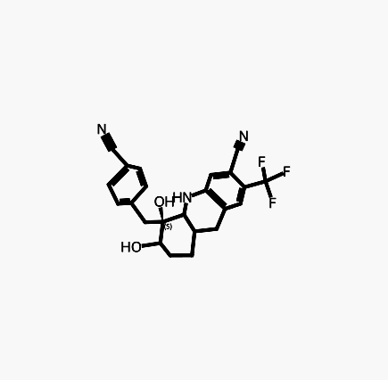 N#Cc1ccc(C[C@@]2(O)C(O)CCC3Cc4cc(C(F)(F)F)c(C#N)cc4NC32)cc1